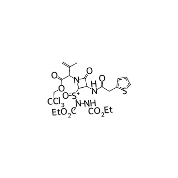 C=C(C)C(C(=O)OCC(Cl)(Cl)Cl)N1C(=O)C(NC(=O)Cc2cccs2)C1[S+]([O-])N(NC(=O)OCC)C(=O)OCC